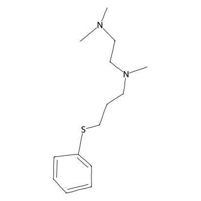 CN(C)CCN(C)CCCSc1ccccc1